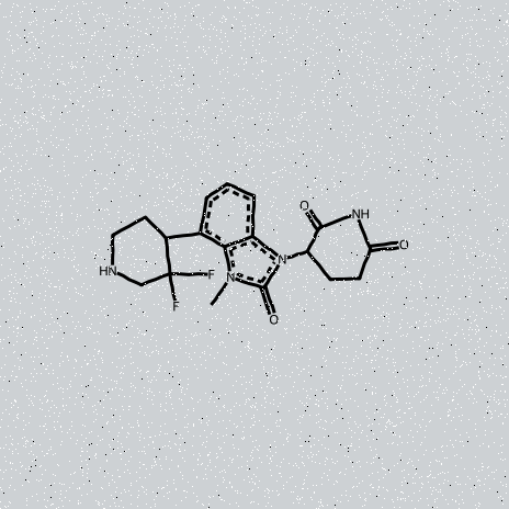 Cn1c(=O)n(C2CCC(=O)NC2=O)c2cccc(C3CCNCC3(F)F)c21